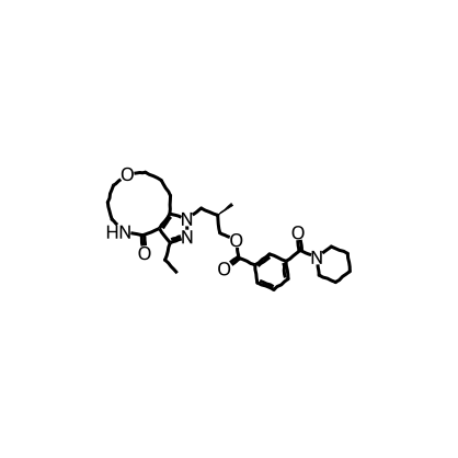 CCc1nn(C[C@@H](C)COC(=O)c2cccc(C(=O)N3CCCCC3)c2)c2c1C(=O)NCCCOCCC2